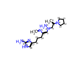 C=N/C(=C\N(N)CC(=C)N1CCCC1)CCCc1c[nH]c(N)n1